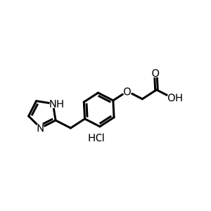 Cl.O=C(O)COc1ccc(Cc2ncc[nH]2)cc1